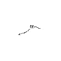 COC(=O)CCCC=C1C[C@H]2C[C@H](O)[C@@H](C=CC(O)CCCCCCCC(C)O)[C@@H]2C1